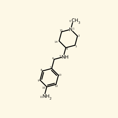 CN1CCC(NCc2ccc(N)cc2)CC1